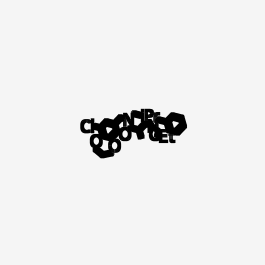 CCON(Cc1ccccc1)CC(C)C(=O)N(Cc1cc(Cl)c2c(c1)OCCCO2)CC(C)C